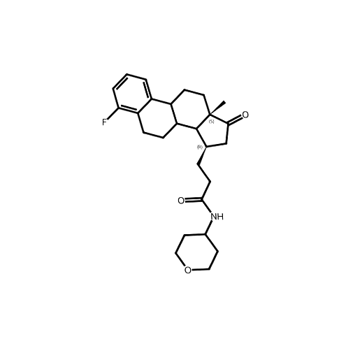 C[C@]12CCC3c4cccc(F)c4CCC3C1[C@H](CCC(=O)NC1CCOCC1)CC2=O